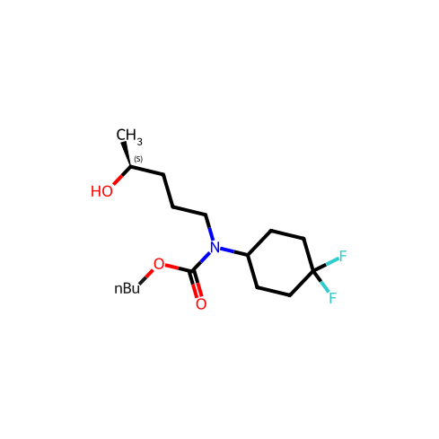 CCCCOC(=O)N(CCC[C@H](C)O)C1CCC(F)(F)CC1